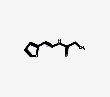 CCC(=O)N/N=C/c1ccco1